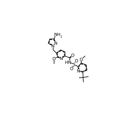 COc1ccc(C(C)(C)C)nc1S(=O)(=O)NC(=O)c1ccc(Cn2ccc(N)n2)c(OC)n1